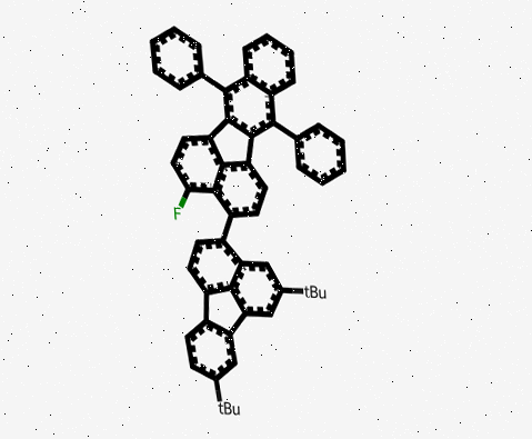 CC(C)(C)c1ccc2c(c1)-c1cc(C(C)(C)C)cc3c(-c4ccc5c6c(ccc(F)c46)-c4c-5c(-c5ccccc5)c5ccccc5c4-c4ccccc4)ccc-2c13